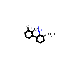 N#Cc1c(-c2cccc(C(=O)O)c2N)cccc1C(F)(F)F